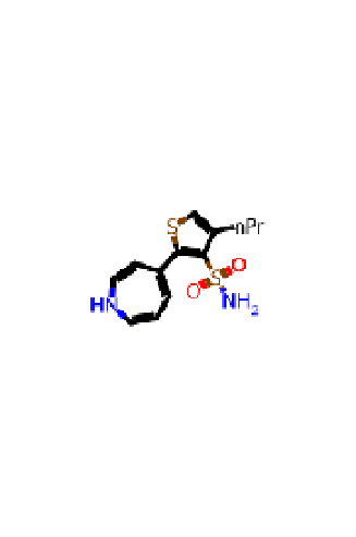 CCCc1csc(C2=CC=CNC=C2)c1S(N)(=O)=O